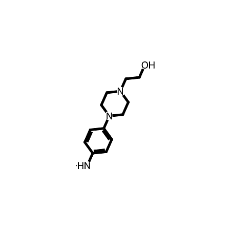 [NH]c1ccc(N2CCN(CCO)CC2)cc1